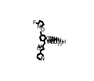 CC(C)C.CC(C)C.Fc1cccc(OCc2ccc(Cc3cc(-c4cccnc4)on3)cc2)n1.N.O=C(O)O.O=C(O)O